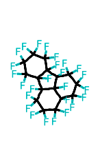 FC1(F)C(F)(F)C(F)(F)C2(F)C(F)(C1(F)F)C1(F)C(F)(F)C(F)(F)C(F)(F)C3(F)C(F)(F)C(F)(F)C(F)(F)C2(F)C31F